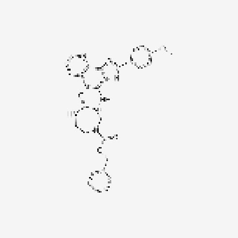 COc1ccc(-c2nc3c4ncccc4nc(N[C@@H]4CN(C(=O)OCc5ccccc5)CCNC4=O)n3n2)cc1